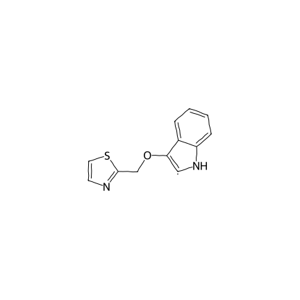 [c]1[nH]c2ccccc2c1OCc1nccs1